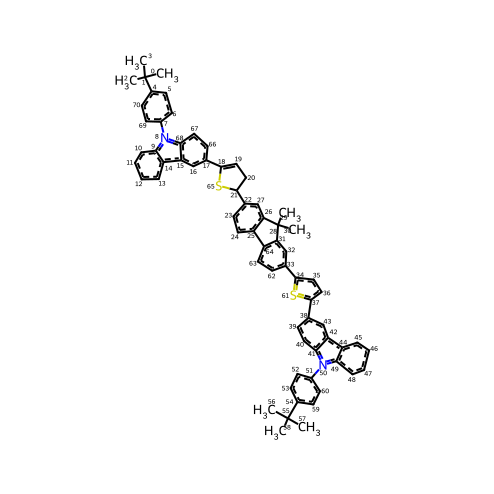 CC(C)(C)c1ccc(-n2c3ccccc3c3cc(C4=CCC(c5ccc6c(c5)C(C)(C)c5cc(-c7ccc(-c8ccc9c(c8)c8ccccc8n9-c8ccc(C(C)(C)C)cc8)s7)ccc5-6)S4)ccc32)cc1